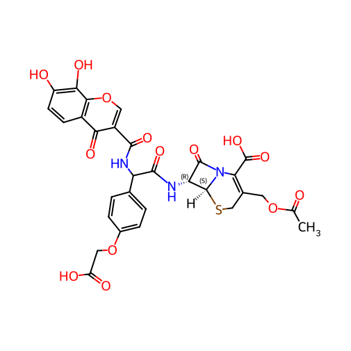 CC(=O)OCC1=C(C(=O)O)N2C(=O)[C@@H](NC(=O)C(NC(=O)c3coc4c(O)c(O)ccc4c3=O)c3ccc(OCC(=O)O)cc3)[C@@H]2SC1